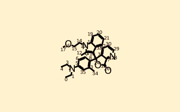 CCN(CC)c1ccc(C2(c3c(C)n(CCOC)c4ccccc34)OC(=O)c3ncccc32)c(C)c1